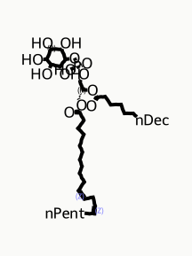 CCCCC/C=C\C/C=C\CCCCCCCCCC(=O)OC[C@H](COP(=O)(O)OC1C(O)C(O)C(O)[C@@H](O)C1O)OC(=O)CCCCCCCCCCCCCCC